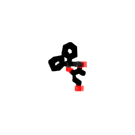 CC(O)[C@@H](CCO)O[Si](c1ccccc1)(c1ccccc1)C(C)(C)C